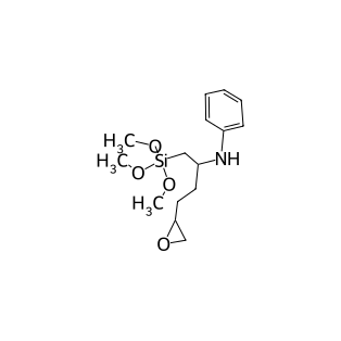 CO[Si](CC(CCC1CO1)Nc1ccccc1)(OC)OC